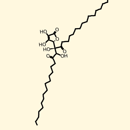 CCCCCCCCCCCCCCCC(=O)C(O)[C@@](O)(C(=O)CCCCCCCCCCCCCCC)[C@H]1OC(=O)C(O)=C1O